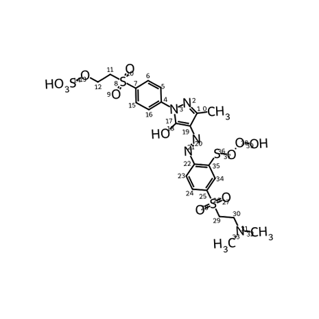 Cc1nn(-c2ccc(S(=O)(=O)CCOS(=O)(=O)O)cc2)c(O)c1N=Nc1ccc(S(=O)(=O)CCN(C)C)cc1SOOO